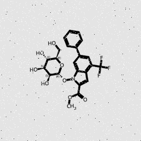 COC(=O)c1cc2c(C(F)(F)F)cc(-c3ccccc3)cc2n1O[C@H]1O[C@H](CO)[C@@H](O)[C@H](O)[C@@H]1O